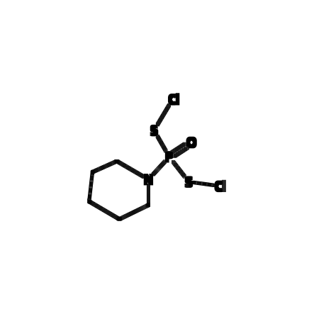 O=P(SCl)(SCl)N1CCCCC1